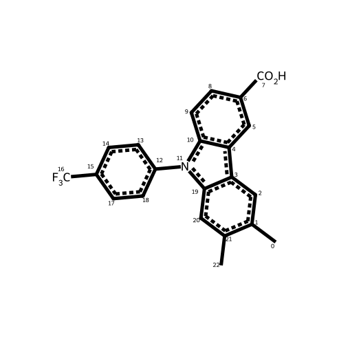 Cc1cc2c3cc(C(=O)O)ccc3n(-c3ccc(C(F)(F)F)cc3)c2cc1C